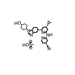 CS(=O)(=O)O.N#Cc1ccnc(Nc2cc(C3CC3)cc(-c3ccc4c(c3)ncn4C3CCC(O)CC3)n2)c1